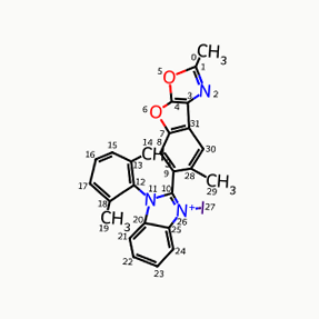 Cc1nc2c(o1)oc1cc(-c3n(-c4c(C)cccc4C)c4ccccc4[n+]3I)c(C)cc12